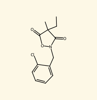 CCC1(C)C(=O)ON(Cc2ccccc2Cl)C1=O